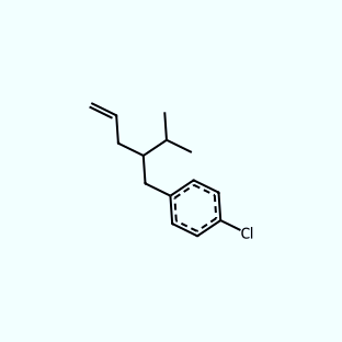 C=CCC(Cc1ccc(Cl)cc1)C(C)C